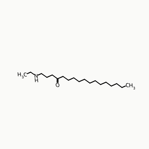 CCCCCCCCCCCCCC(=O)CCCNCC